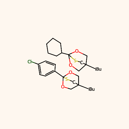 CCC(C)C12COC(C3CCCCC3)(OC1)SC2.CCC(C)C12COC(c3ccc(Cl)cc3)(OC1)SC2